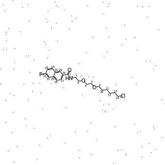 O=C(NCCOCCOCCCCCCCl)c1ccc2cc(F)ccc2c1